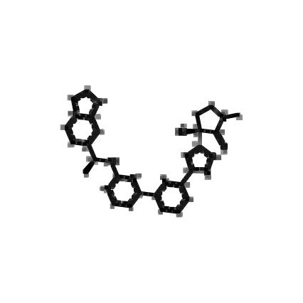 C[C@H](Nc1nccc(-c2cccc(-c3cc([C@]4(O)CCN(C)C4=O)on3)n2)n1)c1ccn2ccnc2c1